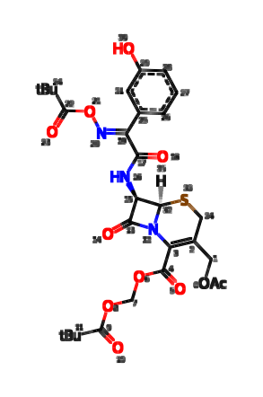 CC(=O)OCC1=C(C(=O)OCOC(=O)C(C)(C)C)N2C(=O)[C@@H](NC(=O)C(=NOC(=O)C(C)(C)C)c3cccc(O)c3)[C@H]2SC1